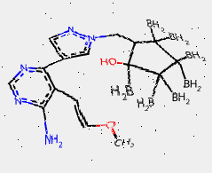 BC1(B)C(Cn2cc(-c3ncnc(N)c3/C=C/OC)cn2)C(B)(O)C(B)(B)C1(B)B